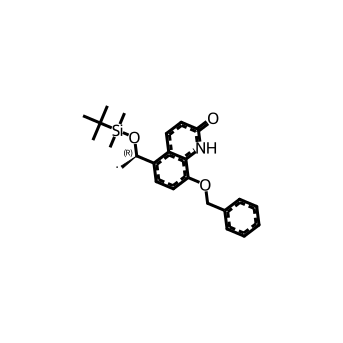 [CH2][C@@H](O[Si](C)(C)C(C)(C)C)c1ccc(OCc2ccccc2)c2[nH]c(=O)ccc12